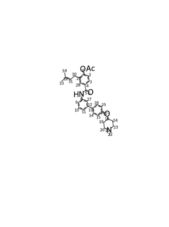 CC(=O)Oc1ccc(C(=O)Nc2cccc(-c3ccc(OC4CCN(C)CC4)cc3)c2)cc1CC=C(C)C